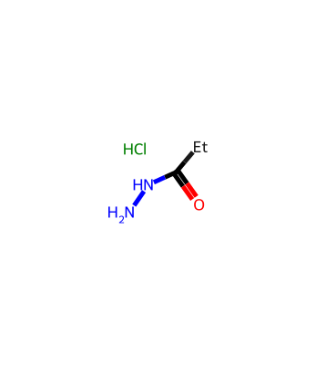 CCC(=O)NN.Cl